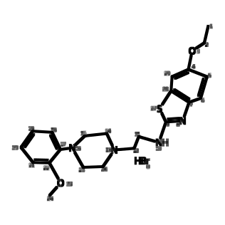 Br.CCOc1ccc2nc(NCCN3CCN(c4ccccc4OC)CC3)sc2c1